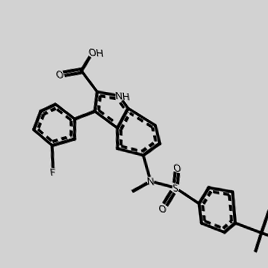 CN(c1ccc2[nH]c(C(=O)O)c(-c3cccc(F)c3)c2c1)S(=O)(=O)c1ccc(C(C)(C)C)cc1